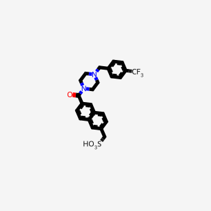 O=C(c1ccc2cc(CS(=O)(=O)O)ccc2c1)N1CCN(Cc2ccc(C(F)(F)F)cc2)CC1